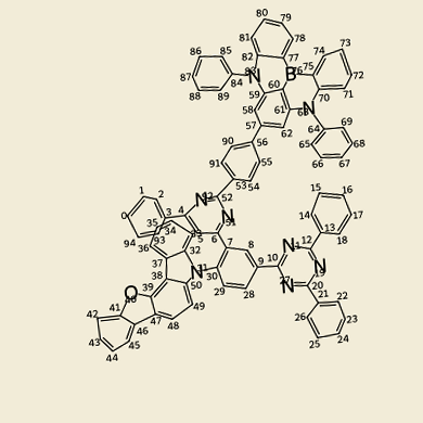 c1ccc(-c2cc(-c3cc(-c4nc(-c5ccccc5)nc(-c5ccccc5)n4)ccc3-n3c4ccccc4c4c5oc6ccccc6c5ccc43)nc(-c3ccc(-c4cc5c6c(c4)N(c4ccccc4)c4ccccc4B6c4ccccc4N5c4ccccc4)cc3)n2)cc1